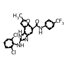 Cc1cc2c(o1)c(C(=O)Nc1ccc(C(F)(F)F)cc1)cc1nc(Nc3c(Cl)cccc3Cl)[nH]c12